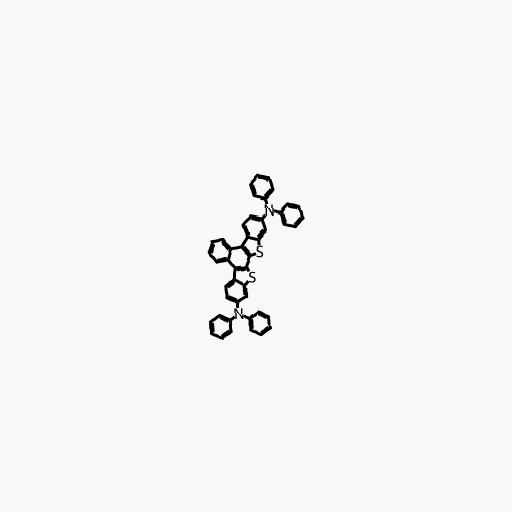 c1ccc(N(c2ccccc2)c2ccc3c(c2)sc2c4sc5cc(N(c6ccccc6)c6ccccc6)ccc5c4c4ccccc4c32)cc1